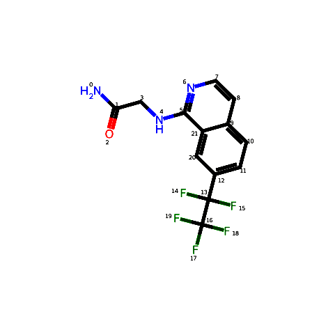 NC(=O)CNc1nccc2ccc(C(F)(F)C(F)(F)F)cc12